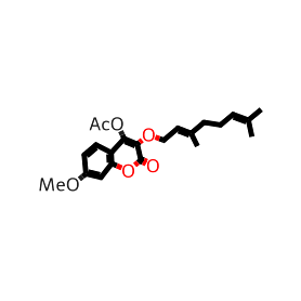 COc1ccc2c(OC(C)=O)c(OC/C=C(\C)CCC=C(C)C)c(=O)oc2c1